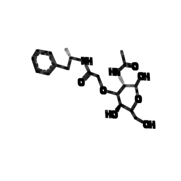 CC(=O)N[C@@H]1C(O)OC(CO)[C@@H](O)C1OCC(=O)N[C@@H](C)Cc1ccccc1